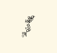 CC(C)(C)OC(=O)N1CCC[C@@H]1c1ncc(-c2ccc3c(c2)CCN(c2c(F)cc(-c4cnc(C5CCCC5)[nH]4)cc2F)C3)[nH]1